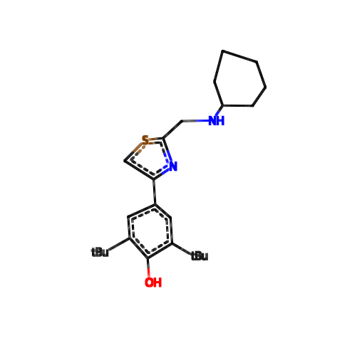 CC(C)(C)c1cc(-c2csc(CNC3CCCCC3)n2)cc(C(C)(C)C)c1O